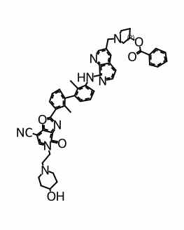 Cc1c(Nc2nccc3cc(CN4CC[C@@H](OC(=O)c5ccccc5)C4)cnc23)cccc1-c1cccc(-c2nc3c(=O)n(CCN4CCC(O)CC4)cc(C#N)c3o2)c1C